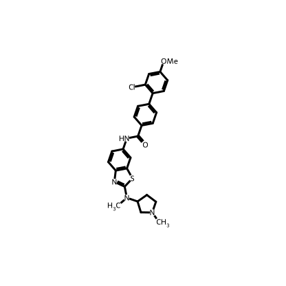 COc1ccc(-c2ccc(C(=O)Nc3ccc4nc(N(C)C5CCN(C)C5)sc4c3)cc2)c(Cl)c1